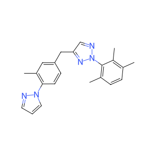 Cc1cc(Cc2cnn(-c3c(C)ccc(C)c3C)n2)ccc1-n1cccn1